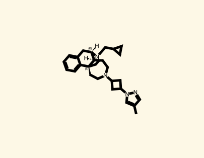 Cc1cnn(C2CC(N3CC[C@@H]4[C@H]5Cc6ccccc6[C@@]4(CC3)CCN5CC3CC3)C2)c1